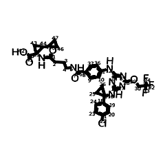 O=C(CCCNC(=O)c1ccc(Nc2nc(NC3(c4ccc(Cl)cc4)CC3)nc(OCC(F)(F)F)n2)cc1)NC1(C(=O)O)CC1C1CC1